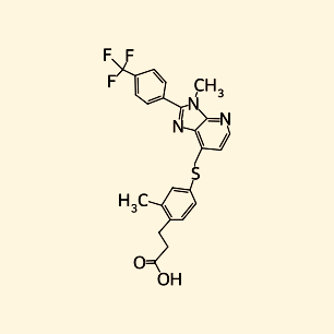 Cc1cc(SCc2ccnc3c2nc(-c2ccc(C(F)(F)F)cc2)n3C)ccc1CCC(=O)O